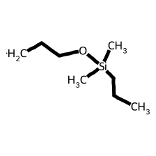 [CH2]CCO[Si](C)(C)CCC